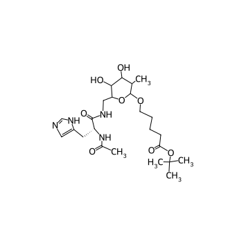 CC(=O)N[C@H](Cc1cnc[nH]1)C(=O)NCC1OC(OCCCCC(=O)OC(C)(C)C)C(C)C(O)C1O